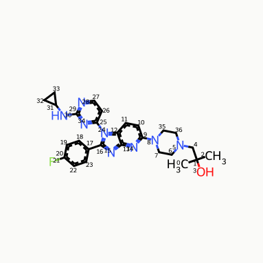 CC(C)(O)CN1CCN(c2ccc3c(n2)nc(-c2ccc(F)cc2)n3-c2ccnc(NC3CC3)n2)CC1